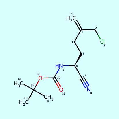 C=C(CCl)CC[C@@H](C#N)NC(=O)OC(C)(C)C